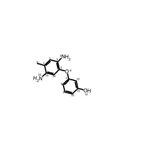 Cc1cc(N)c(Oc2cccc(O)c2)cc1N